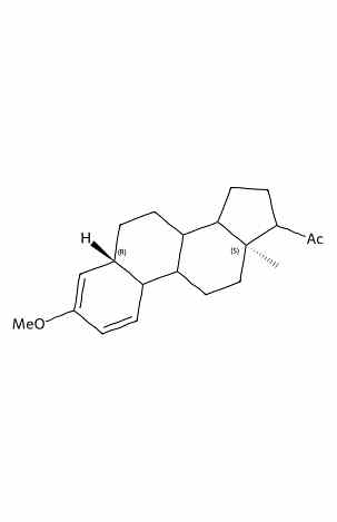 COC1=C[C@@H]2CCC3C(CC[C@]4(C)C(C(C)=O)CCC34)C2C=C1